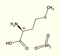 CSCC[C@H](N)C(=O)O.O=[SH2]=O